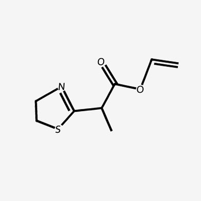 C=COC(=O)C(C)C1=NCCS1